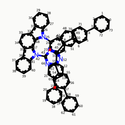 c1ccc(-c2ccc(-c3cc(-c4ccc(-c5ccccc5)cc4)cc(-n4c5ccccc5c5ccc6c7ccccc7n(-c7nc(-c8ccccc8)nc(-c8ccc(-c9ccccc9)cc8)n7)c6c54)c3)cc2)cc1